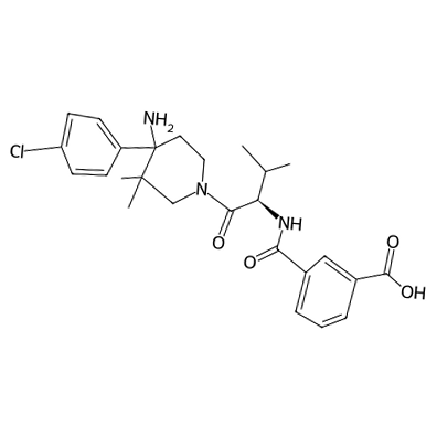 CC(C)[C@@H](NC(=O)c1cccc(C(=O)O)c1)C(=O)N1CCC(N)(c2ccc(Cl)cc2)C(C)(C)C1